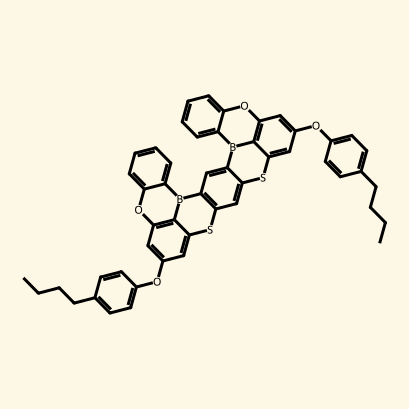 CCCCc1ccc(Oc2cc3c4c(c2)Sc2cc5c(cc2B4c2ccccc2O3)B2c3ccccc3Oc3cc(Oc4ccc(CCCC)cc4)cc(c32)S5)cc1